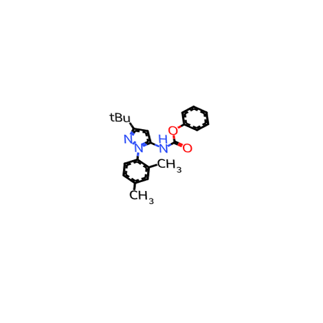 Cc1ccc(-n2nc(C(C)(C)C)cc2NC(=O)Oc2ccccc2)c(C)c1